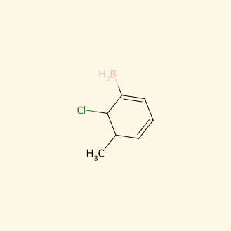 BC1=CC=CC(C)C1Cl